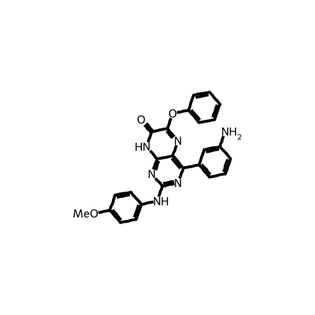 COc1ccc(Nc2nc(-c3cccc(N)c3)c3nc(Oc4ccccc4)c(=O)[nH]c3n2)cc1